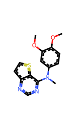 COc1ccc(N(C)c2ncnc3ccsc23)cc1OC